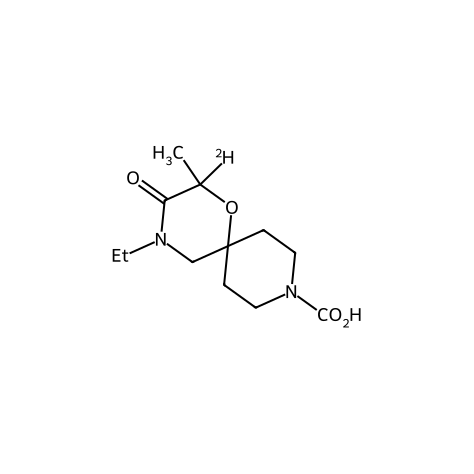 [2H]C1(C)OC2(CCN(C(=O)O)CC2)CN(CC)C1=O